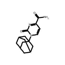 NC(=O)c1ccn(C23CC4CC(CC(C4)C2)C3)c(=O)n1